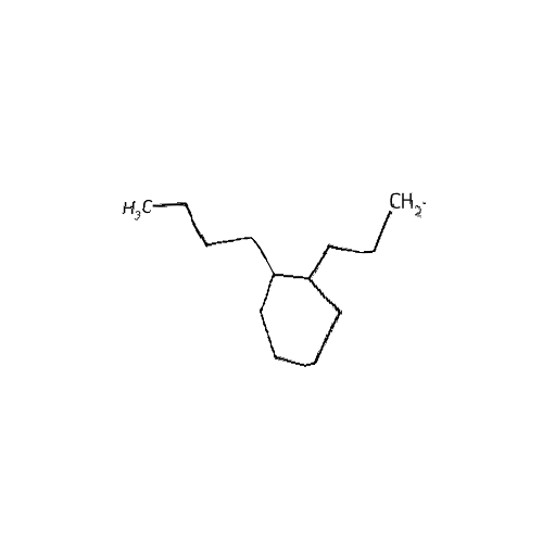 [CH2]CCC1CCCCC1CCCC